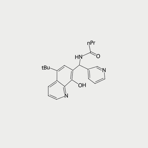 CCCC(=O)NC(c1cccnc1)c1cc(C(C)(C)C)c2cccnc2c1O